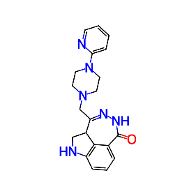 O=C1NN=C(CN2CCN(c3ccccn3)CC2)C2CNc3cccc1c32